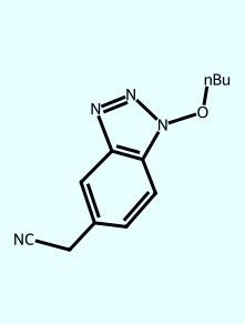 CCCCOn1nnc2cc(CC#N)ccc21